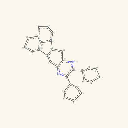 c1ccc(-c2nc3cc4c(cc3nc2-c2ccccc2)-c2cccc3cccc-4c23)cc1